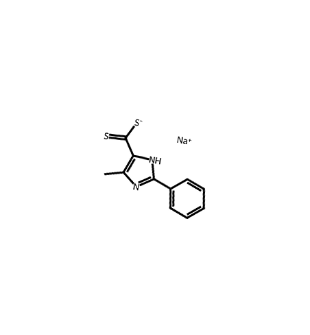 Cc1nc(-c2ccccc2)[nH]c1C(=S)[S-].[Na+]